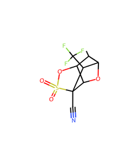 CC1C2OS(=O)(=O)C3(C#N)C2OC1C3C(F)(F)F